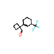 O=CC1(C2=CC(C(F)(F)F)CCC2)CCC1